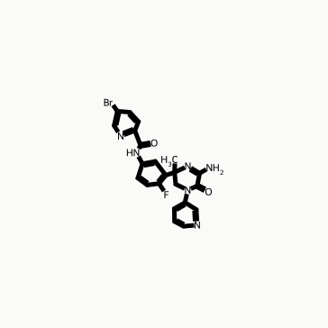 CC1(c2cc(NC(=O)c3ccc(Br)cn3)ccc2F)CN(c2cccnc2)C(=O)C(N)=N1